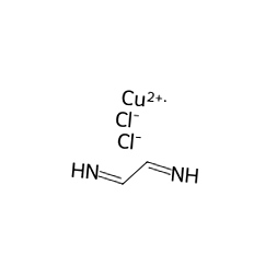 N=CC=N.[Cl-].[Cl-].[Cu+2]